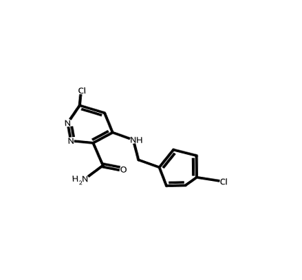 NC(=O)c1nnc(Cl)cc1NCc1ccc(Cl)cc1